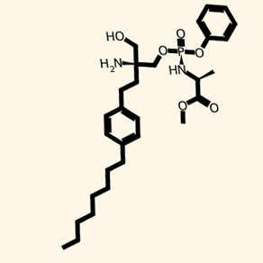 CCCCCCCCc1ccc(CC[C@](N)(CO)CO[P@@](=O)(N[C@@H](C)C(=O)OC)Oc2ccccc2)cc1